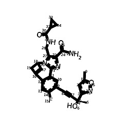 Cc1cc([C@](C)(O)C#Cc2cc3c(cc2F)C2=CC(C2)n2c-3nc(C(N)=O)c2CNC(=O)C2CC2)no1